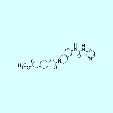 COC(=O)CC1CCC(OC(=O)N2CCc3cc(NC(=O)Nc4cnccn4)ccc3C2)CC1